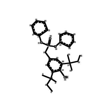 CCC(C)(C)c1cc(CP(=O)(Oc2ccccc2)Oc2ccccc2)cc(C(C)(C)CC)c1O